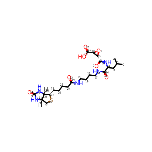 CC(C)CC(NC(=O)[C@H]1O[C@@H]1C(=O)O)C(=O)NCCCCNC(=O)CCCC[C@@H]1SC[C@@H]2NC(=O)N[C@@H]21